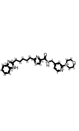 O=C(NCc1ccnc(N2CCOCC2)c1)c1csc(CCCCCc2nc3ccccc3[nH]2)n1